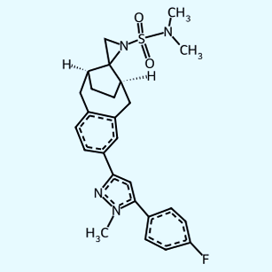 CN(C)S(=O)(=O)N1CC12[C@@H]1CC[C@H]2Cc2ccc(-c3cc(-c4ccc(F)cc4)n(C)n3)cc2C1